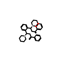 C=C(CC(c1ccccc1C(CC(=C)c1ccccc1)N1CCCCC1)N1CCCCC1)c1ccccc1